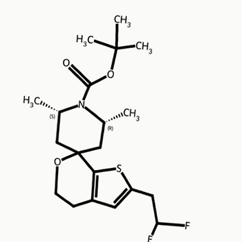 C[C@@H]1CC2(C[C@H](C)N1C(=O)OC(C)(C)C)OCCc1cc(CC(F)F)sc12